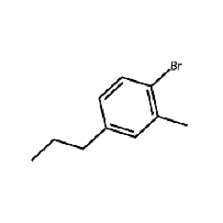 CCCc1ccc(Br)c(C)c1